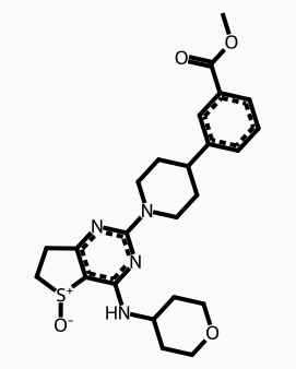 COC(=O)c1cccc(C2CCN(c3nc4c(c(NC5CCOCC5)n3)[S+]([O-])CC4)CC2)c1